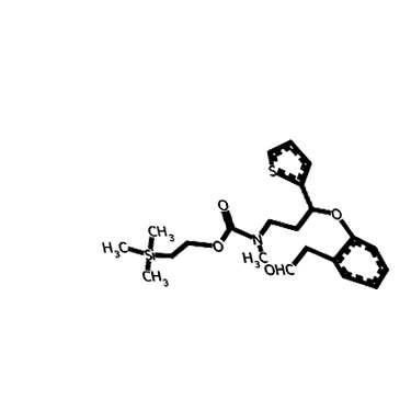 CN(CCC(Oc1ccccc1CC=O)c1cccs1)C(=O)OCC[Si](C)(C)C